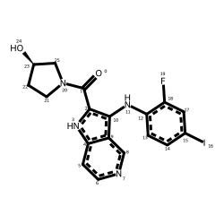 O=C(c1[nH]c2ccncc2c1Nc1ccc(I)cc1F)N1CC[C@@H](O)C1